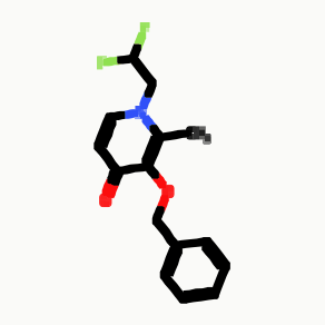 Cc1c(OCc2ccccc2)c(=O)ccn1CC(F)F